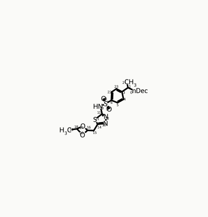 CCCCCCCCCCC(C)c1ccc(S(=O)(=O)Nc2nnc(CC3OC(C)O3)s2)cc1